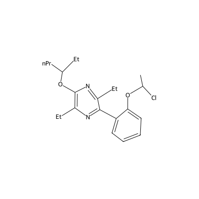 CCCC(CC)Oc1nc(CC)c(-c2ccccc2OC(C)Cl)nc1CC